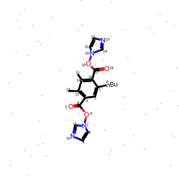 CCCCc1cc(C(=O)On2ccnc2)c(C)c(C)c1C(=O)On1ccnc1